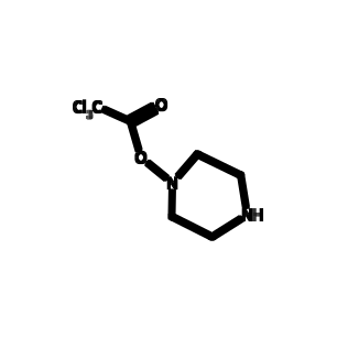 O=C(ON1CCNCC1)C(Cl)(Cl)Cl